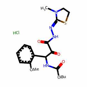 COc1ccccc1C(NC(=O)OCC(C)C)C(=O)C(=O)NN=C1SCCN1C.Cl